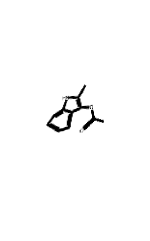 CC(=O)Oc1c(C)[nH]c2ccccc12